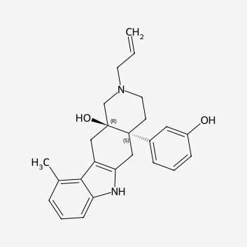 C=CCN1CC[C@@]2(c3cccc(O)c3)Cc3[nH]c4cccc(C)c4c3C[C@]2(O)C1